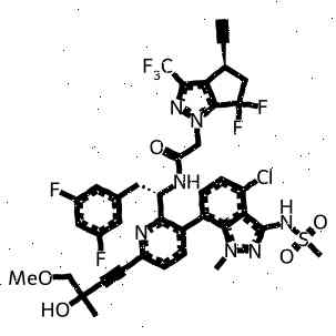 C#C[C@H]1CC(F)(F)c2c1c(C(F)(F)F)nn2CC(=O)N[C@@H](Cc1cc(F)cc(F)c1)c1nc(C#CC(C)(O)COC)ccc1-c1ccc(Cl)c2c(NS(C)(=O)=O)nn(C)c12